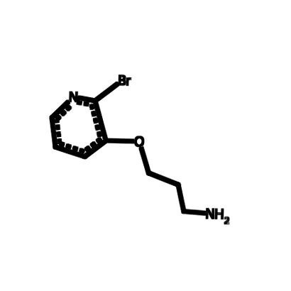 NCCCOc1cccnc1Br